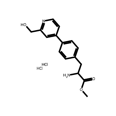 COC(=O)C(N)Cc1ccc(-c2ccnc(CO)c2)cc1.Cl.Cl